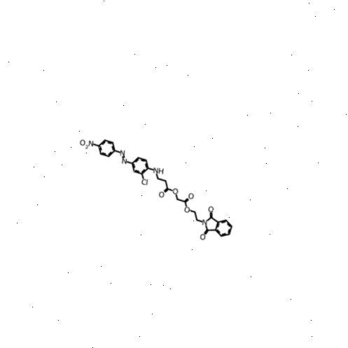 O=C(CCNc1ccc(/N=N/c2ccc([N+](=O)[O-])cc2)cc1Cl)OCC(=O)OCCN1C(=O)c2ccccc2C1=O